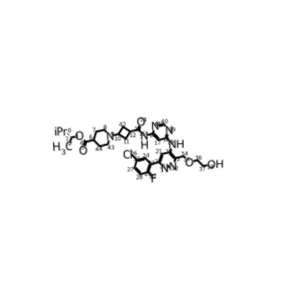 CC(C)[C@@H](C)OC(=O)C1CCN(C2CC(C(=O)Nc3cc(Nc4cc(-c5cc(Cl)ccc5F)nnc4COCCO)ncn3)C2)CC1